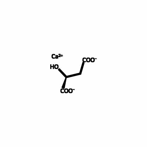 O=C([O-])C[C@H](O)C(=O)[O-].[Ca+2]